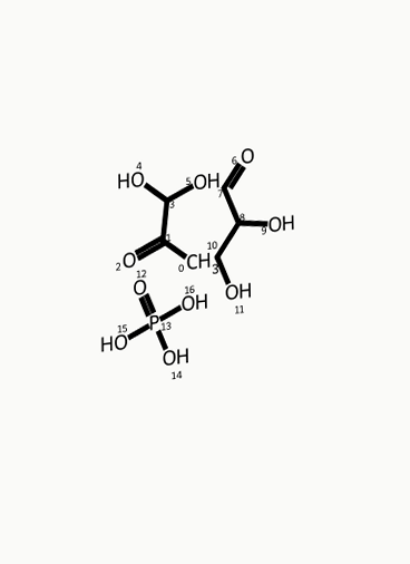 CC(=O)C(O)O.O=CC(O)CO.O=P(O)(O)O